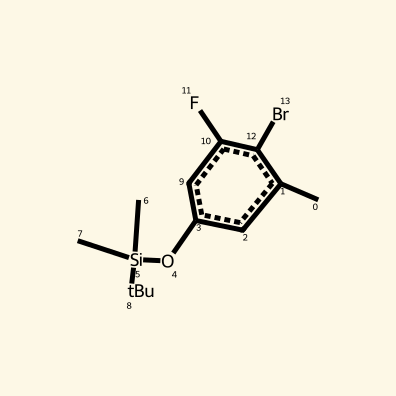 Cc1cc(O[Si](C)(C)C(C)(C)C)cc(F)c1Br